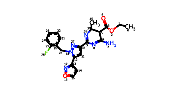 CCOC(=O)C1C(N)=NC(c2cc(-c3ccon3)n(Cc3ccccc3F)n2)=NC1C